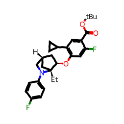 CC[C@@]12C[C@@H](C[C@H]1Oc1cc(F)c(C(=O)OC(C)(C)C)cc1C1CC1)CN2c1ccc(F)cc1